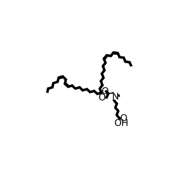 CCCCC/C=C\C/C=C\CCCCCCCCC1(CCCCCCCC/C=C\C/C=C\CCCCC)OC[C@H](CN(C)CCCCCC(=O)O)O1